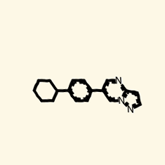 c1cc2ncc(-c3ccc(C4CCCCC4)cc3)cn2n1